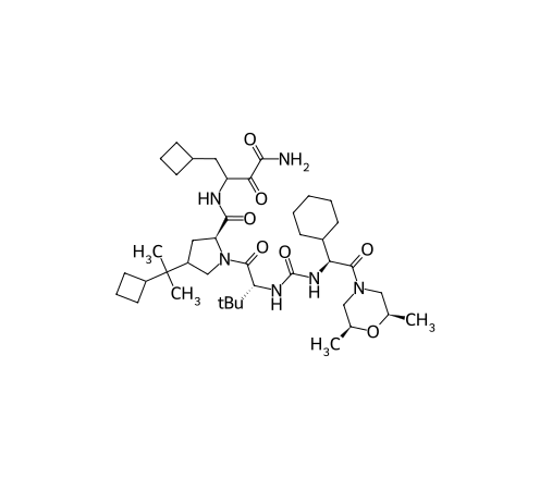 C[C@@H]1CN(C(=O)[C@@H](NC(=O)N[C@@H](C(=O)N2CC(C(C)(C)C3CCC3)C[C@H]2C(=O)NC(CC2CCC2)C(=O)C(N)=O)C(C)(C)C)C2CCCCC2)C[C@H](C)O1